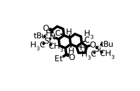 CCC(=O)C1CC2N([Si](C)(C)C(C)(C)C)C(=O)CC[C@]2(C)[C@@H]2CC[C@]3(C)C(O[Si](C)(C)C(C)(C)C)CC[C@H]3[C@H]12